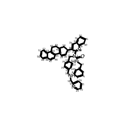 O=C(NCc1ccccc1)N(Cc1ccc(CNCc2ccccn2)cc1)c1nc2ccccc2cc1C1C=CC2=C(CCc3c2ccc2ccccc32)C1